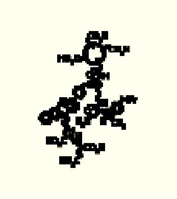 CC(C)Cc1ccc(C(C)C(=O)NC(CC(N)=O)C(=O)NCCCCC(NC(=O)CN2CCN(CC(=O)O)CCN(CC(=O)O)CCN(CC(=O)O)CC2)C(=O)NCC2CCC(C(=O)NC(Cc3ccc4ccccc4c3)C(=O)NCCCCC(NCNC(CCC(=O)O)C(=O)O)C(=O)O)CC2)cc1